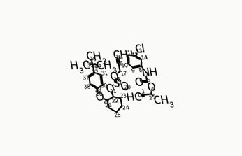 C#CC(C)OC(=O)Nc1cccc(Cl)c1.C#CCOS(=O)OC1CCCCC1Oc1ccc(C(C)(C)C)cc1